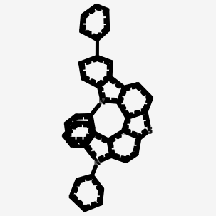 c1ccc(-c2ccc3c(c2)c2ccc4sc5ccc6c(c7ccccc7n6-c6ccccc6)c5c4c2n3-c2ccccc2)cc1